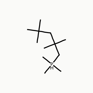 CC(C)(C)CC(C)(C)C[PH](C)(C)C